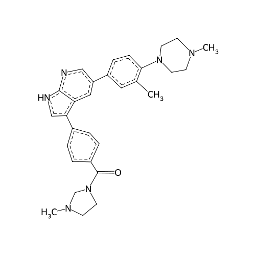 Cc1cc(-c2cnc3[nH]cc(-c4ccc(C(=O)N5CCN(C)C5)cc4)c3c2)ccc1N1CCN(C)CC1